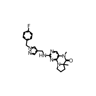 CN1C(=O)C2(C)CCCN2c2nc(NCc3cnn(Cc4ccc(F)cc4)c3)ncc21